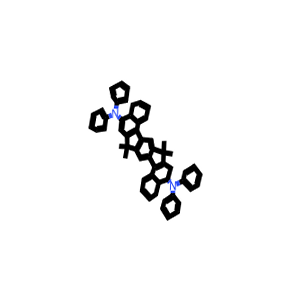 CC1(C)C2=C(C3=CC=CCC3C(N(c3ccccc3)c3ccccc3)=C2)c2cc3c(cc21)C1=C(CC(N(c2ccccc2)c2ccccc2)C2CC=CC=C12)C3(C)C